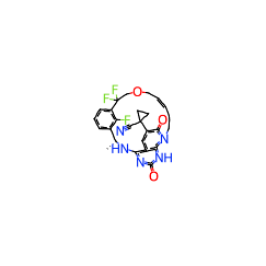 C[C@H]1Nc2nc(=O)[nH]c3c2cc(C2(C#N)CC2)c(=O)n3CC/C=C\COCC(F)(F)c2cccc1c2F